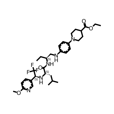 CCOC(=O)C1CCN(c2ccc(NC[C@H](CC)NC(=O)[C@H](CC(C)C)N[C@@H](c3ccc(OC)nc3)C(F)(F)F)cc2)CC1